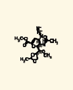 COC(=O)C1=C[C@H](N=[N+]=[N-])[C@@H](NC(C)=O)[C@H]([C@H](OC)[C@H]2COC(C)O2)O1